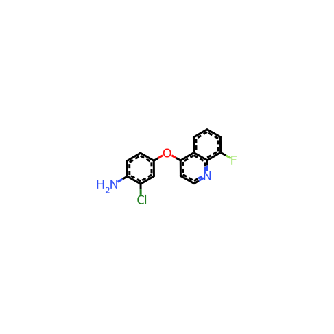 Nc1ccc(Oc2ccnc3c(F)cccc23)cc1Cl